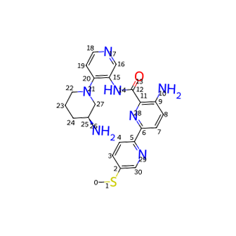 CSc1ccc(-c2ccc(N)c(C(=O)Nc3cnccc3N3CCC[C@H](N)C3)n2)nc1